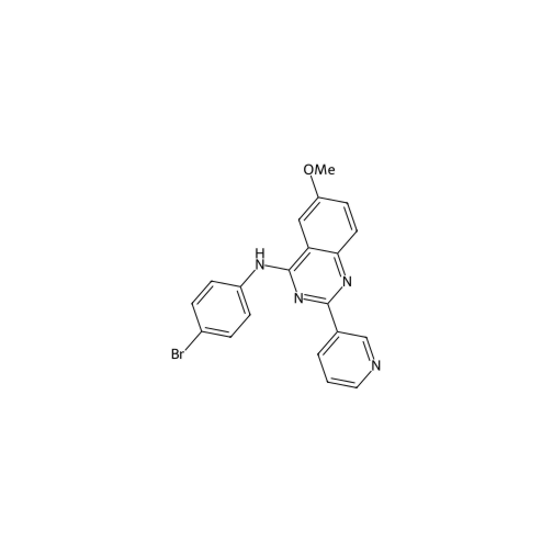 COc1ccc2nc(-c3cccnc3)nc(Nc3ccc(Br)cc3)c2c1